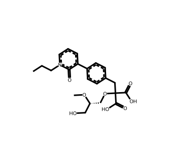 CCCn1cccc(-c2ccc(CC(OC[C@H](CO)OC)(C(=O)O)C(=O)O)cc2)c1=O